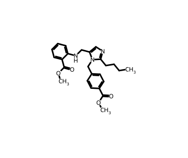 CCCCc1ncc(CNc2ccccc2C(=O)OC)n1Cc1ccc(C(=O)OC)cc1